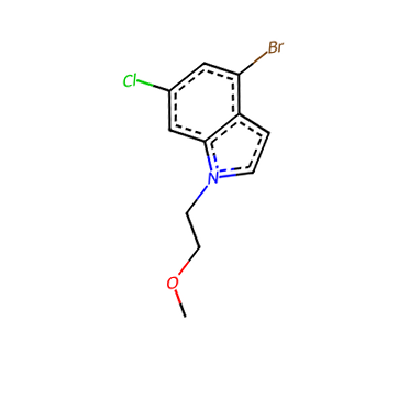 COCCn1ccc2c(Br)cc(Cl)cc21